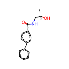 C[C@H](O)CNC(=O)c1ccc(-c2ccccc2)cc1